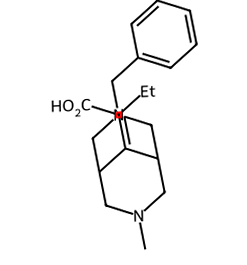 CCC(C(=O)O)=C1C2CN(C)CC1CN(Cc1ccccc1)C2